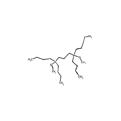 CCCC[Si](CCCC)(CCC[Si](CCCC)(CCCC)OC)OC